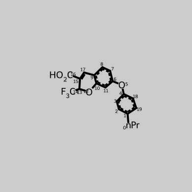 CCCc1ccc(Oc2ccc3c(c2)OC(C(F)(F)F)C(C(=O)O)=C3)cc1